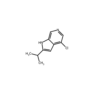 CC(C)c1cc2c(Cl)cncc2[nH]1